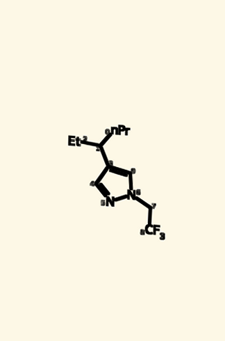 CCCC(CC)c1cnn(CC(F)(F)F)c1